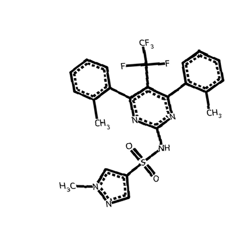 Cc1ccccc1-c1nc(NS(=O)(=O)c2cnn(C)c2)nc(-c2ccccc2C)c1C(F)(F)C(F)(F)F